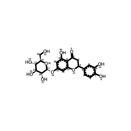 O=C1CC(c2ccc(O)c(O)c2)Oc2cc(O[C@H]3O[C@H](CO)[C@@H](O)[C@H](O)[C@H]3O)cc(O)c21